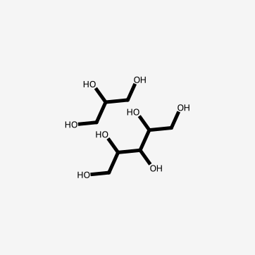 OCC(O)C(O)C(O)CO.OCC(O)CO